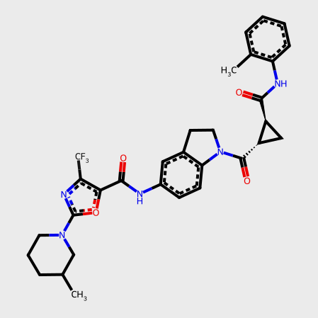 Cc1ccccc1NC(=O)[C@H]1C[C@@H]1C(=O)N1CCc2cc(NC(=O)c3oc(N4CCCC(C)C4)nc3C(F)(F)F)ccc21